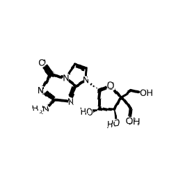 Nc1nc(=O)n2ccn([C@@H]3OC(CO)(CO)[C@@H](O)[C@H]3O)c2n1